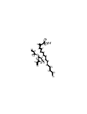 C=C(CCCCCCCCCCCCC)C(=O)O.C=CC(=O)OC(CCC)OC(=O)C=C